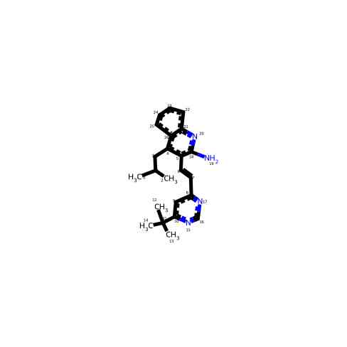 CC(C)Cc1c(C=Cc2cc(C(C)(C)C)ncn2)c(N)nc2ccccc12